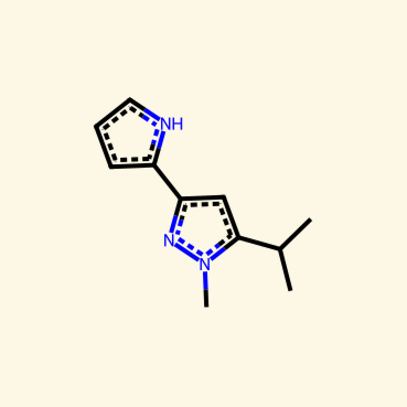 CC(C)c1cc(-c2ccc[nH]2)nn1C